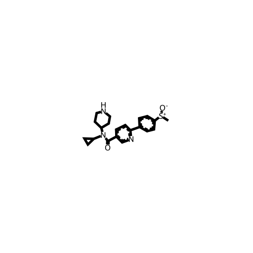 C[S+]([O-])c1ccc(-c2ccc(C(=O)N(C3CCNCC3)C3CC3)cn2)cc1